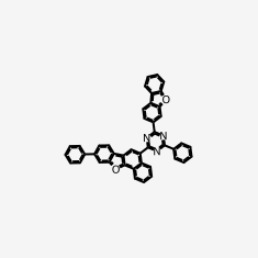 c1ccc(-c2ccc3c(c2)oc2c4ccccc4c(-c4nc(-c5ccccc5)nc(-c5ccc6c(c5)oc5ccccc56)n4)cc32)cc1